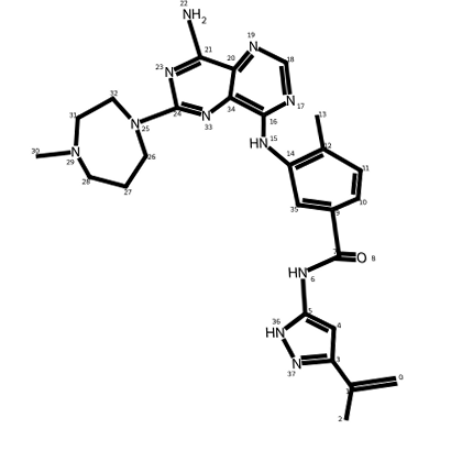 C=C(C)c1cc(NC(=O)c2ccc(C)c(Nc3ncnc4c(N)nc(N5CCCN(C)CC5)nc34)c2)[nH]n1